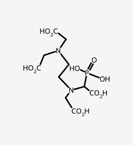 O=C(O)CN(CCN(CC(=O)O)C(C(=O)O)P(=O)(O)O)CC(=O)O